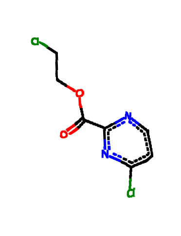 O=C(OCCCl)c1nccc(Cl)n1